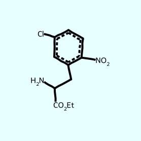 CCOC(=O)C(N)Cc1cc(Cl)ccc1[N+](=O)[O-]